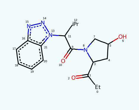 CCC(=O)C1CC(O)CN1C(=O)C(C(C)C)n1nnc2ccccc21